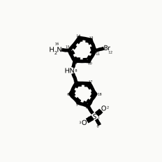 CS(=O)(=O)c1ccc(Nc2cc(Br)ccc2N)cc1